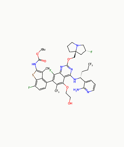 CC(C)(C)OC(=O)Nc1sc2c(F)ccc(-c3c(C(F)(F)F)c(OCCO)c4c(N[C@H](CCC(F)(F)F)c5cccnc5N)nc(OC[C@@]56CCCN5C[C@H](F)C6)nc4c3F)c2c1C#N